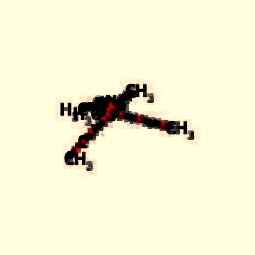 CCCCCCCCCCCCCCCCCCC[CH2][Pd][CH2]CCCCCCCCCCCCCCCCCCC.CCCCCc1cccc(C2=CC(CCCC)=C(c3cccc(CCCCC)c3)[N+]2=[N-])c1